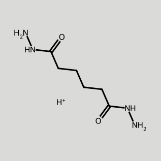 NNC(=O)CCCCC(=O)NN.[H+]